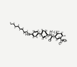 CCCCCCCCNc1ccc(-c2ccc(NC(=O)c3cc([N+](=O)[O-])ccc3Cl)cc2)cc1